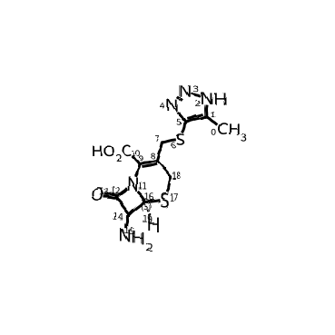 Cc1[nH]nnc1SCC1=C(C(=O)O)N2C(=O)C(N)[C@@H]2SC1